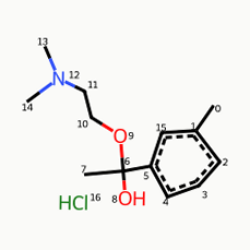 Cc1cccc(C(C)(O)OCCN(C)C)c1.Cl